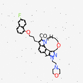 Cc1ccc2c(CCCOc3cccc4cc(F)ccc34)c(C(=O)O)n3c2c1-c1c(nn(CCN2CCOCC2)c1C)COCCCC3